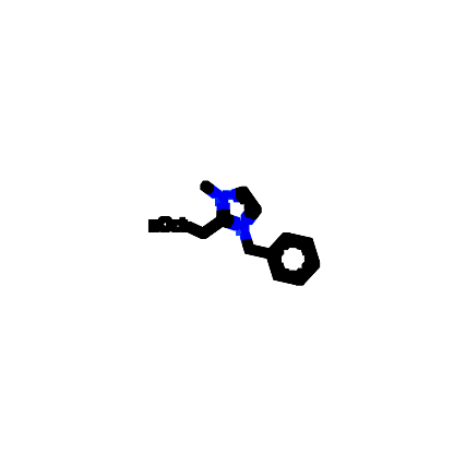 CCCCCCCCCc1n(Cc2ccccc2)cc[n+]1C